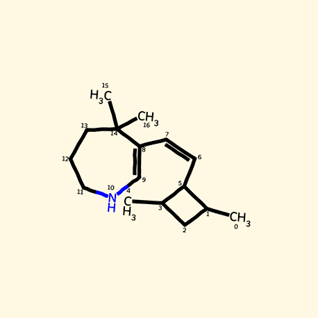 CC1CC(C)C1/C=C\C1=CNCCCC1(C)C